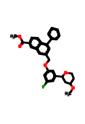 COC(=O)c1ccc2c(-c3ccccc3)cc(COc3cc(F)cc(C4CC(OC)CCO4)c3)cc2c1